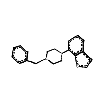 c1ccc(CN2CCN(c3cccc4ccoc34)CC2)cc1